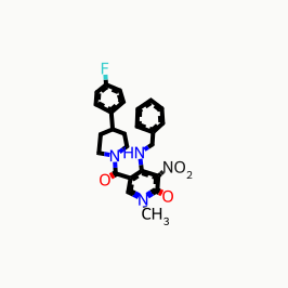 Cn1cc(C(=O)N2CCC(c3ccc(F)cc3)CC2)c(NCc2ccccc2)c([N+](=O)[O-])c1=O